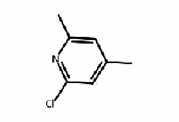 Cc1[c]c(Cl)nc(C)c1